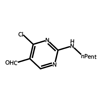 CCCCCNc1ncc(C=O)c(Cl)n1